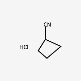 Cl.N#CC1CCC1